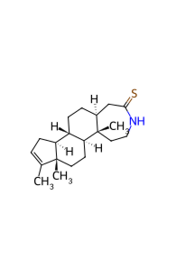 CC1=CC[C@H]2[C@@H]3CC[C@H]4CC(=S)NCC[C@]4(C)[C@H]3CC[C@]12C